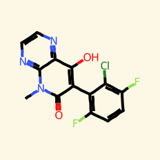 Cn1c(=O)c(-c2c(F)ccc(F)c2Cl)c(O)c2nccnc21